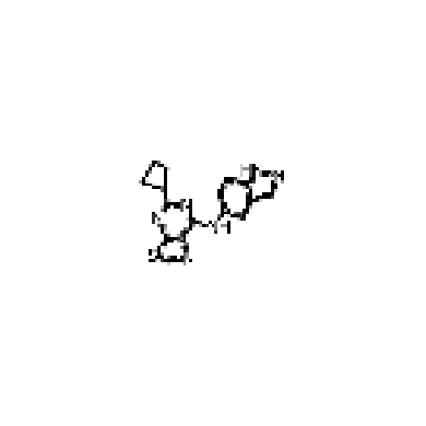 c1nc2c(Nc3ccc4[nH]ncc4c3)nc(C3CCC3)nc2s1